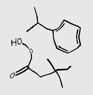 CC(C)(C)CC(=O)OO.CC(C)c1ccccc1